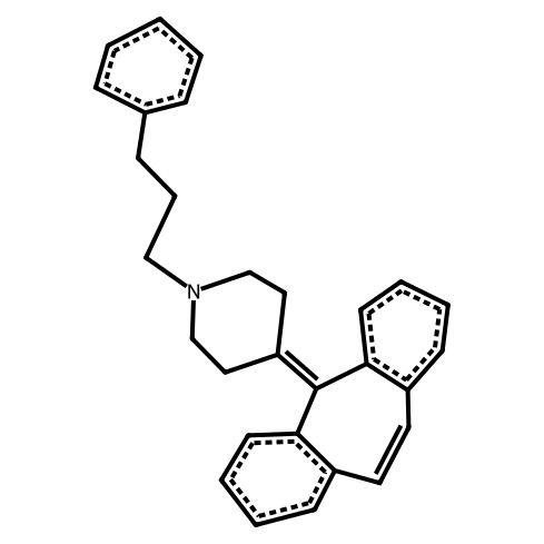 C1=Cc2ccccc2C(=C2CCN(CCCc3ccccc3)CC2)c2ccccc21